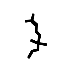 CCCC(C)(C)CCC=C(C)C